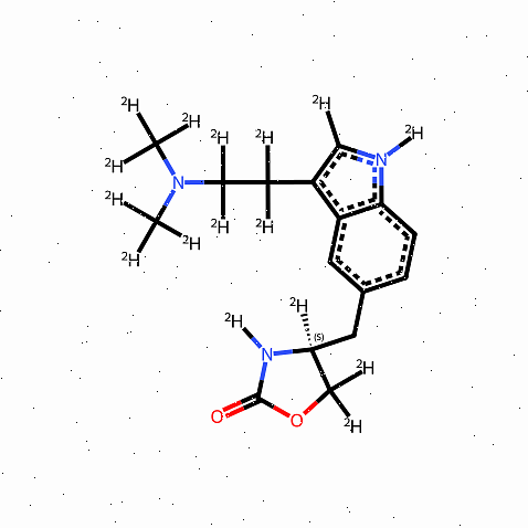 [2H]c1c(C([2H])([2H])C([2H])([2H])N(C([2H])([2H])[2H])C([2H])([2H])[2H])c2cc(C[C@]3([2H])N([2H])C(=O)OC3([2H])[2H])ccc2n1[2H]